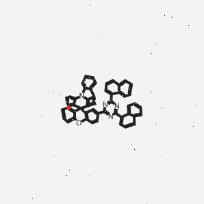 c1ccc2c(c1)Oc1ccc(-c3nc(-c4cccc5ccccc45)nc(-c4cccc5ccccc45)n3)cc1C21c2ccccc2-n2c3ccccc3c3cccc1c32